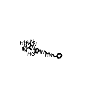 Nc1ncnc2c1c(-c1ncc[nH]1)cn2[C@@H]1C[C@H](CNCCCNCCc2ccccc2)C[C@H]1O